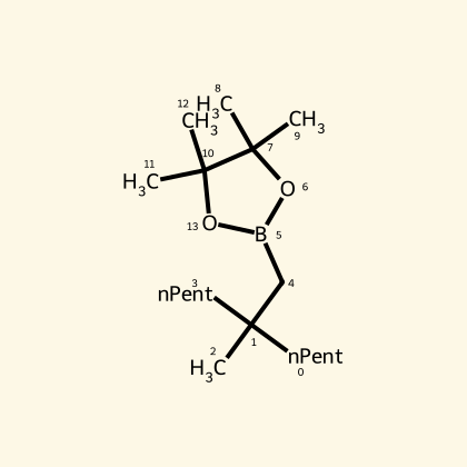 CCCCCC(C)(CCCCC)CB1OC(C)(C)C(C)(C)O1